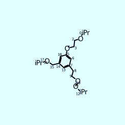 CC(C)OCCOc1cc(CCOOC(C)C)cc(COC(C)C)c1